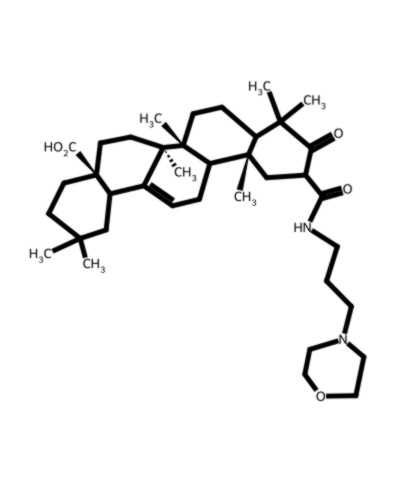 CC1(C)CC[C@]2(C(=O)O)CC[C@]3(C)C(=CCC4[C@@]5(C)CC(C(=O)NCCCN6CCOCC6)C(=O)C(C)(C)C5CC[C@]43C)C2C1